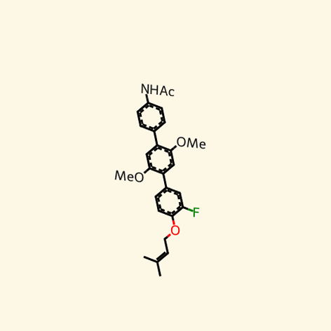 COc1cc(-c2ccc(OCC=C(C)C)c(F)c2)c(OC)cc1-c1ccc(NC(C)=O)cc1